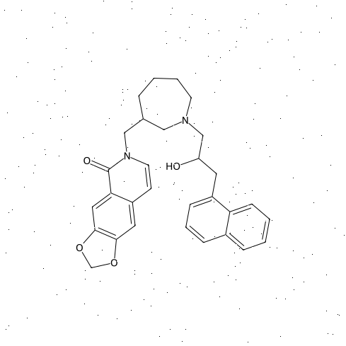 O=c1c2cc3c(cc2ccn1CC1CCCCN(CC(O)Cc2cccc4ccccc24)C1)OCO3